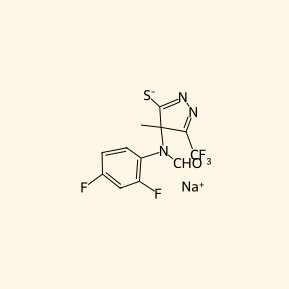 CC1(N(C=O)c2ccc(F)cc2F)C([S-])=NN=C1C(F)(F)F.[Na+]